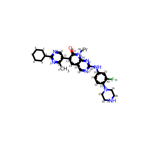 Cc1nc(C2CCCCC2)ncc1-c1cc2cnc(Nc3ccc(N4CCNCC4)c(F)c3)nc2n(C(C)C)c1=O